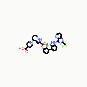 O=C(Nc1cccc(-c2cccc(Nc3nc(C(F)(F)F)nc4cccnc34)c2Cl)c1Cl)c1cc2n(n1)CCC[C@H]2N1CCC(C(=O)O)CC1